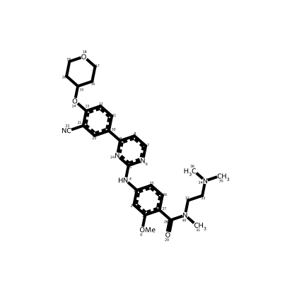 COc1cc(Nc2nccc(-c3ccc(OC4CCOCC4)c(C#N)c3)n2)ccc1C(=O)N(C)CCN(C)C